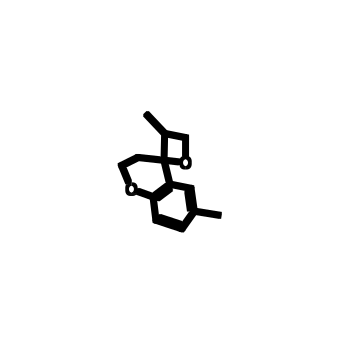 Cc1ccc2c(c1)C1(CCO2)OCC1C